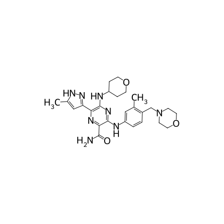 Cc1cc(-c2nc(C(N)=O)c(Nc3ccc(CN4CCOCC4)c(C)c3)nc2NC2CCOCC2)n[nH]1